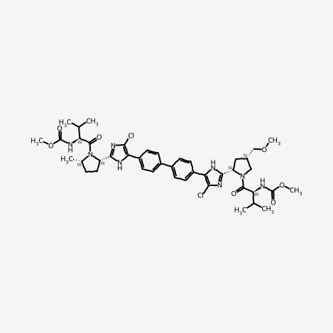 COC[C@H]1C[C@@H](c2nc(Cl)c(-c3ccc(-c4ccc(-c5[nH]c([C@@H]6CC[C@H](C)N6C(=O)[C@@H](NC(=O)OC)C(C)C)nc5Cl)cc4)cc3)[nH]2)N(C(=O)[C@@H](NC(=O)OC)C(C)C)C1